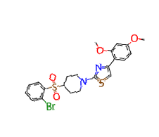 COc1ccc(-c2csc(N3CCC(S(=O)(=O)c4ccccc4Br)CC3)n2)c(OC)c1